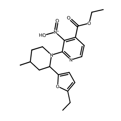 CCOC(=O)c1ccnc(N2CCC(C)CC2c2ccc(CC)o2)c1[N+](=O)O